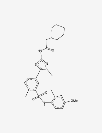 COc1ccc(NS(=O)(=O)c2cc(-c3sc(NC(=O)CC4CCCCC4)nc3C)ccc2C)c(C)c1